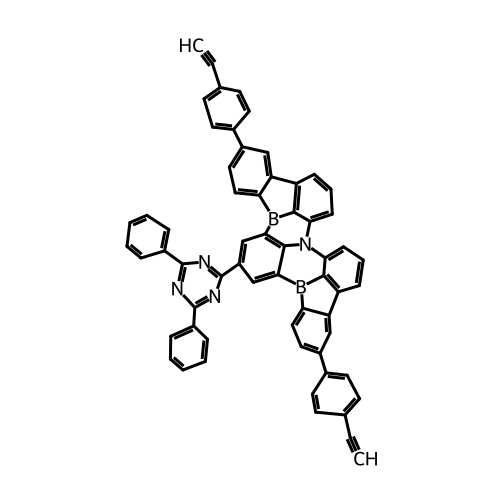 C#Cc1ccc(-c2ccc3c(c2)-c2cccc4c2B3c2cc(-c3nc(-c5ccccc5)nc(-c5ccccc5)n3)cc3c2N4c2cccc4c2B3c2ccc(-c3ccc(C#C)cc3)cc2-4)cc1